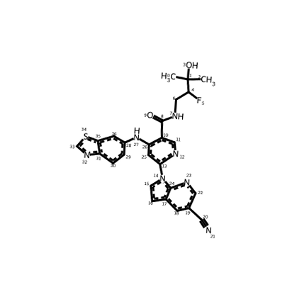 CC(C)(O)C(F)CNC(=O)c1cnc(-n2ccc3cc(C#N)cnc32)cc1Nc1ccc2ncsc2c1